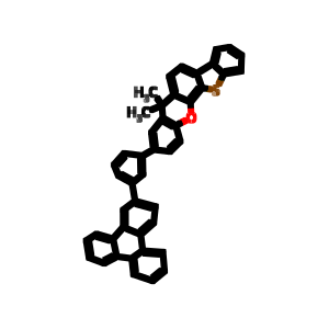 CC1(C)c2cc(-c3cccc(-c4ccc5c6ccccc6c6ccccc6c5c4)c3)ccc2Oc2c1ccc1c2sc2ccccc21